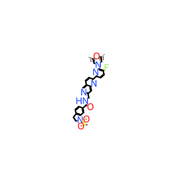 C[C@@H]1CN(c2nc(-c3ccc4cnc(CNC(=O)c5ccc6c(c5)N(S(C)(=O)=O)CC6)cc4n3)ccc2F)C[C@H](C)O1